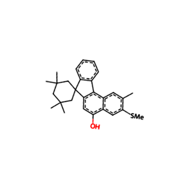 CSc1cc2c(O)cc3c(c2cc1C)-c1ccccc1C31CC(C)(C)CC(C)(C)C1